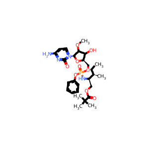 CC[C@H](C)[C@@H](COC(=O)C(C)(C)C)NP(=O)(OC[C@H]1O[C@@H](n2ccc(N)nc2=O)C(OC)C1O)Oc1ccccc1